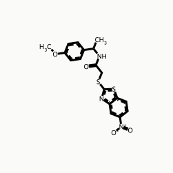 COc1ccc(C(C)NC(=O)CSc2nc3cc([N+](=O)[O-])ccc3s2)cc1